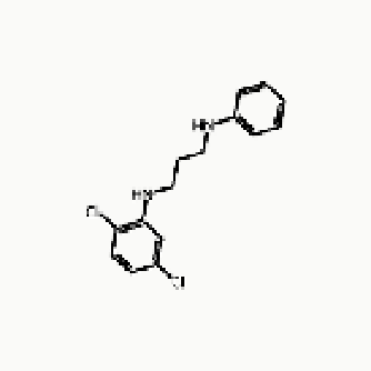 Clc1ccc(Cl)c(NCCCNc2ccccc2)c1